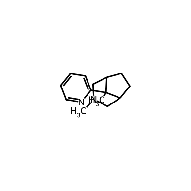 CN1CC2CCC(C1)C2(C)c1ccccn1